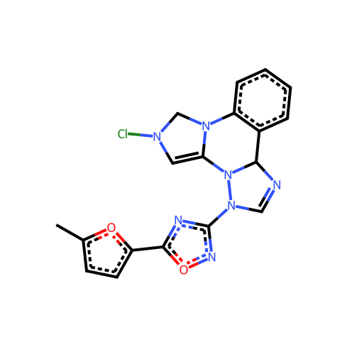 Cc1ccc(-c2nc(N3C=NC4c5ccccc5N5CN(Cl)C=C5N43)no2)o1